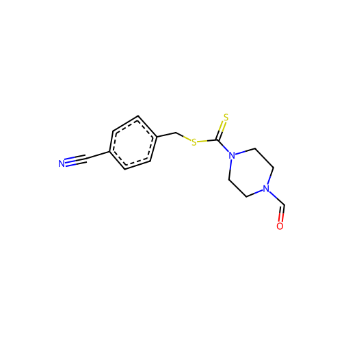 N#Cc1ccc(CSC(=S)N2CCN(C=O)CC2)cc1